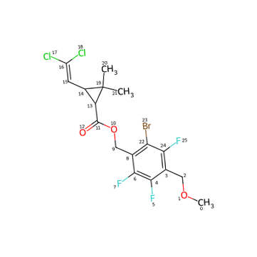 COCc1c(F)c(F)c(COC(=O)C2C(C=C(Cl)Cl)C2(C)C)c(Br)c1F